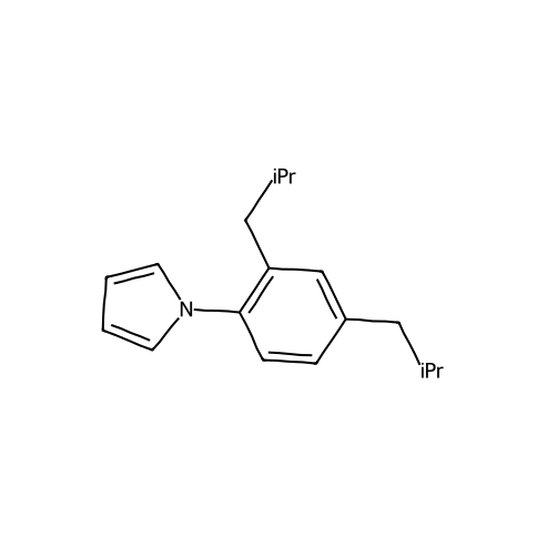 CC(C)Cc1ccc(-n2cccc2)c(CC(C)C)c1